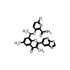 Cc1cc([C@@H](C)Oc2ccc(Cl)nc2C(N)=O)c2oc(-c3cnc4scnc4c3)c(C)c(=O)c2c1